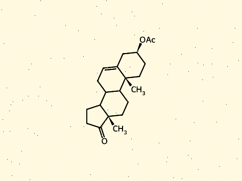 CC(=O)O[C@H]1CC[C@@]2(C)C(=CCC3C2CC[C@]2(C)C(=O)CCC32)C1